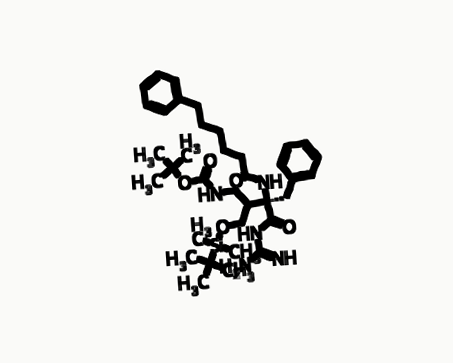 CC(C)(C)OC(=O)NCC(CO[Si](C)(C)C(C)(C)C)[C@@](Cc1ccccc1)(NC(=O)CCCCCc1ccccc1)C(=O)NC(=N)N